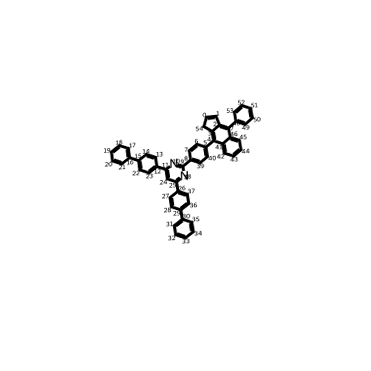 C1=Cc2c(c(-c3ccc(-c4nc(-c5ccc(-c6ccccc6)cc5)cc(-c5ccc(-c6ccccc6)cc5)n4)cc3)c3ccccc3c2-c2ccccc2)C1